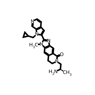 C[C@@H](N)CN1CCc2cc3c(cc2C1=O)nc(-c1cc2ccncc2n1CC1CC1)n3C